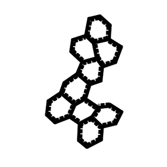 c1cc2ccc3cc4c(cc5cccc6c7cccc8cccc(c87)c4c56)c4ccc(c1)c2c34